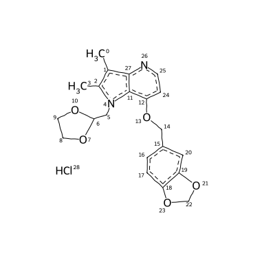 Cc1c(C)n(CC2OCCO2)c2c(OCc3ccc4c(c3)OCO4)ccnc12.Cl